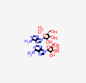 Nc1ncnc2c1ncn2[C@@H]1O[C@H](CO)[C@@H](O)[C@@H]1O.Nc1ncnc2c1ncn2[C@@H]1O[C@H](CO)[C@@H](O)[C@@H]1O.O.O